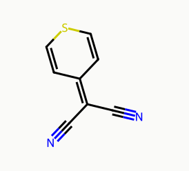 N#CC(C#N)=C1C=CSC=C1